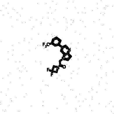 O=C(Cn1ccc2ncc(-c3cccc(C(F)(F)F)c3)cc21)N1CC(F)(F)C1